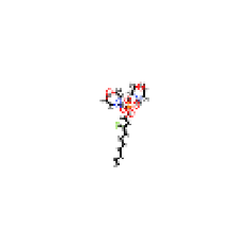 CCCCCCCC(F)CCOP(=O)(ON1CCOCC1)ON1CCOCC1